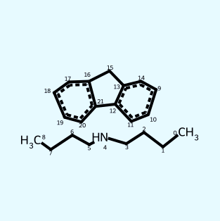 CCCCNCCCC.c1ccc2c(c1)Cc1ccccc1-2